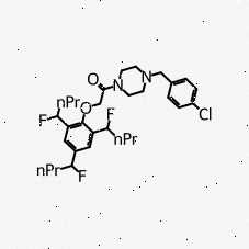 CCCC(F)c1cc(C(F)CCC)c(OCC(=O)N2CCN(Cc3ccc(Cl)cc3)CC2)c(C(F)CCC)c1